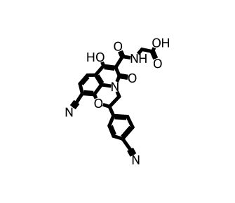 N#Cc1ccc(C2Cn3c(=O)c(C(=O)NCC(=O)O)c(O)c4ccc(C#N)c(c43)O2)cc1